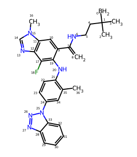 BC(C)(C)CCNC(=C)c1cc2c(ncn2C)c(F)c1Nc1ccc(-n2nnc3ccccc32)cc1C